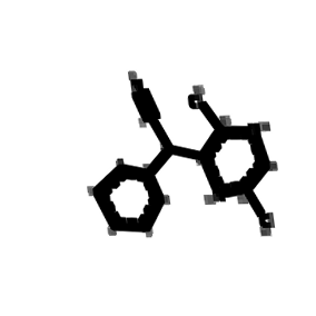 N#CC(c1ccccc1)c1nc(Cl)cnc1Cl